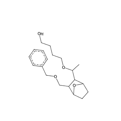 CC(OCCCCO)C1C2CCC(O2)C1COCc1ccccc1